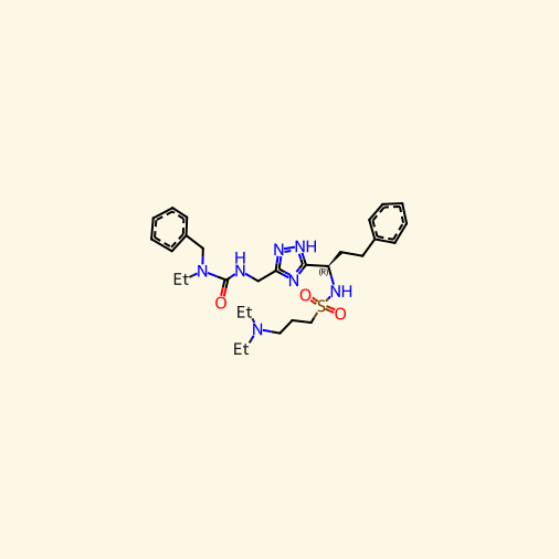 CCN(CC)CCCS(=O)(=O)N[C@H](CCc1ccccc1)c1nc(CNC(=O)N(CC)Cc2ccccc2)n[nH]1